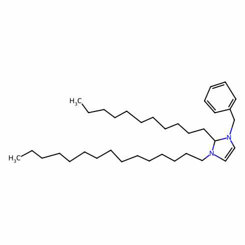 CCCCCCCCCCCCCCCN1C=CN(Cc2ccccc2)C1CCCCCCCCCCC